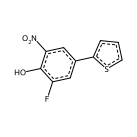 O=[N+]([O-])c1cc(-c2cccs2)cc(F)c1O